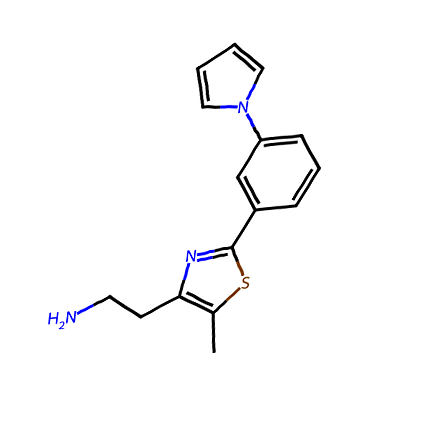 Cc1sc(-c2cccc(-n3cccc3)c2)nc1CCN